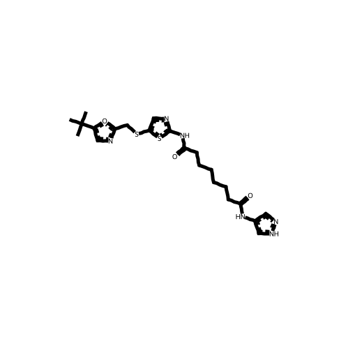 CC(C)(C)c1cnc(CSc2cnc(NC(=O)CCCCCCC(=O)Nc3cn[nH]c3)s2)o1